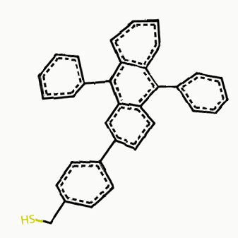 SCc1ccc(-c2ccc3c(-c4ccccc4)c4ccccc4c(-c4ccccc4)c3c2)cc1